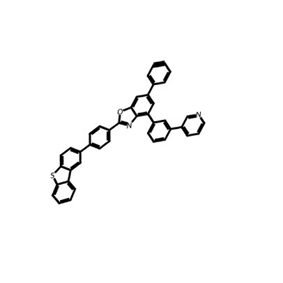 c1ccc(-c2cc(-c3cccc(-c4cccnc4)c3)c3nc(-c4ccc(-c5ccc6sc7ccccc7c6c5)cc4)oc3c2)cc#1